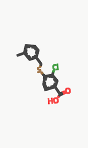 Cc1cccc(CSc2ccc(C(=O)O)cc2Cl)c1